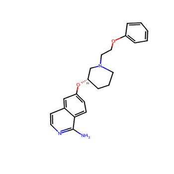 Nc1nccc2cc(O[C@H]3CCCN(CCOc4ccccc4)C3)ccc12